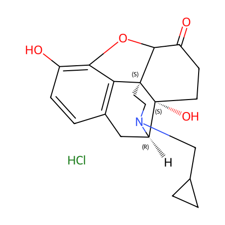 Cl.O=C1CC[C@@]2(O)[C@H]3Cc4ccc(O)c5c4[C@@]2(CCN3CC2CC2)C1O5